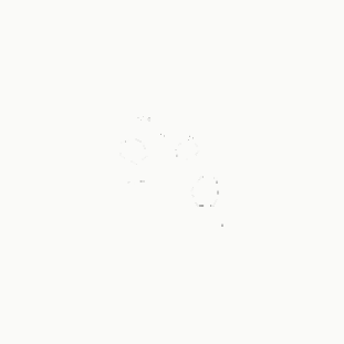 CCS(=O)(=O)c1ccc(OC)c(Nc2ncc(-c3ccc(O)cc3)o2)c1